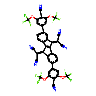 N#CC(C#N)=C1C2=C(C(=C(C#N)C#N)c3cc(-c4cc(OC(F)(F)F)c(C#N)c(OC(F)(F)F)c4)ccc32)c2ccc(-c3cc(OC(F)(F)F)c(C#N)c(OC(F)(F)F)c3)cc21